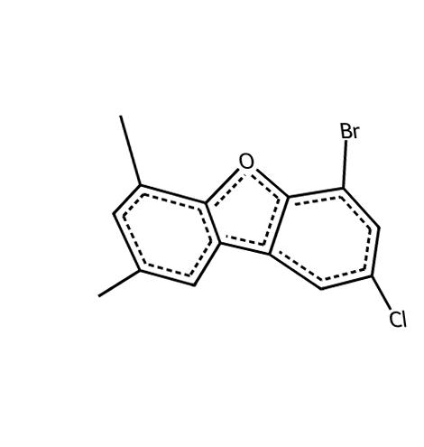 Cc1cc(C)c2oc3c(Br)cc(Cl)cc3c2c1